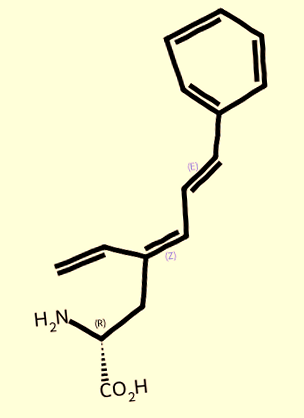 C=C/C(=C\C=C\c1ccccc1)C[C@@H](N)C(=O)O